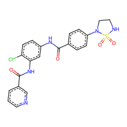 O=C(Nc1ccc(Cl)c(NC(=O)c2cccnc2)c1)c1ccc(N2CCNS2(=O)=O)cc1